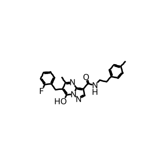 Cc1ccc(CCNC(=O)c2cnn3c(O)c(Cc4ccccc4F)c(C)nc23)cc1